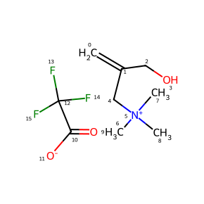 C=C(CO)C[N+](C)(C)C.O=C([O-])C(F)(F)F